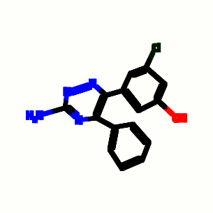 Nc1nnc(-c2cc(O)cc(Cl)c2)c(-c2ccccc2)n1